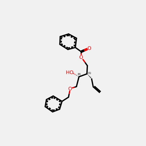 C=CC[C@@H](COC(=O)c1ccccc1)[C@@H](O)COCc1ccccc1